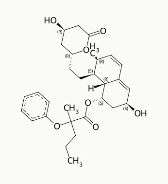 CCCC(C)(Oc1ccccc1)C(=O)O[C@H]1C[C@H](O)C=C2C=C[C@H](C)[C@H](CC[C@@H]3C[C@@H](O)CC(=O)O3)[C@H]21